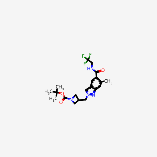 Cc1cc2nn(CC3CN(C(=O)OC(C)(C)C)C3)cc2cc1C(=O)NCC(F)(F)F